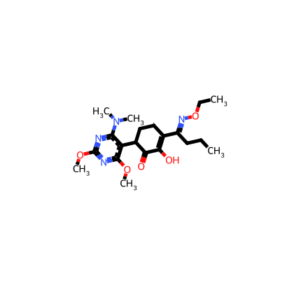 CCCC(=NOCC)C1=C(O)C(=O)C(c2c(OC)nc(OC)nc2N(C)C)C[CH]1